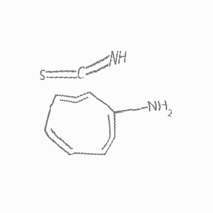 N=C=S.Nc1ccccc1